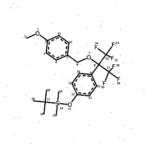 COc1ccc(COC(c2ccc(O[Si](C)(C)C(C)(C)C)cc2)(C(F)(F)F)C(F)(F)F)cc1